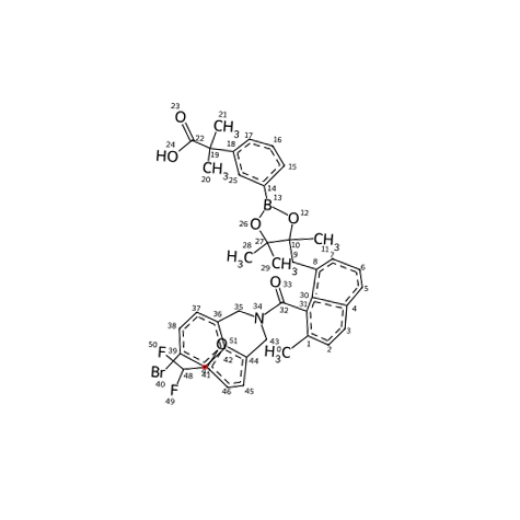 Cc1ccc2cccc(CC3(C)OB(c4cccc(C(C)(C)C(=O)O)c4)OC3(C)C)c2c1C(=O)N(Cc1ccc(Br)cc1)Cc1ccc(C(F)F)o1